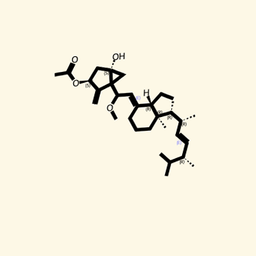 C=C1[C@@H](OC(C)=O)C[C@@]2(O)CC12C(/C=C1\CCC[C@]2(C)[C@@H]([C@H](C)/C=C/[C@H](C)C(C)C)CC[C@@H]12)OC